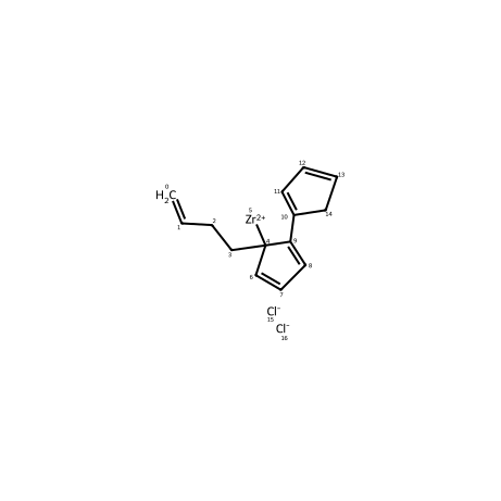 C=CCC[C]1([Zr+2])C=CC=C1C1=CC=CC1.[Cl-].[Cl-]